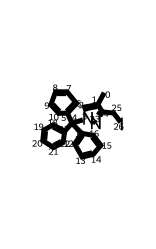 Cc1cn(C(c2ccccc2)(c2ccccc2)c2ccccc2)nc1CI